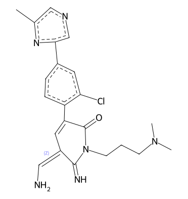 Cc1cncc(-c2ccc(C3=C/C(=C/N)C(=N)N(CCCN(C)C)C3=O)c(Cl)c2)n1